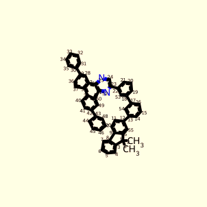 CC1(C)c2ccccc2-c2ccc(-c3cccc(-c4cccc(-c5cnc6c7cc(-c8ccccc8)ccc7c7ccc(-c8ccccc8)cc7c6n5)c4)c3)cc21